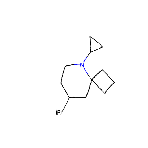 CC(C)C1CCN(C2CC2)C2(CCC2)C1